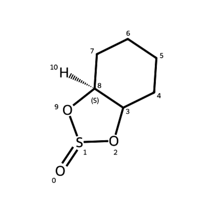 O=S1OC2CCCC[C@@H]2O1